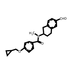 CN(C(=O)c1ccc(OCC2CC2)cc1)C1CCc2cc(C=O)ccc2C1